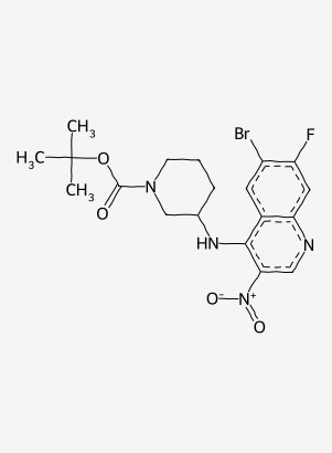 CC(C)(C)OC(=O)N1CCCC(Nc2c([N+](=O)[O-])cnc3cc(F)c(Br)cc23)C1